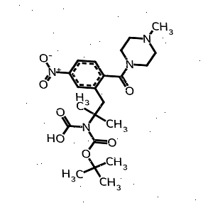 CN1CCN(C(=O)c2ccc([N+](=O)[O-])cc2CC(C)(C)N(C(=O)O)C(=O)OC(C)(C)C)CC1